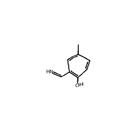 Cc1ccc(O)c(C=N)c1